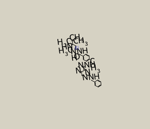 CN/C(=C\C(=N)C(C)(C)C)NC(=O)c1ccc(C)c(Nc2ncnc3cnc(NCc4ccccc4)nc23)c1